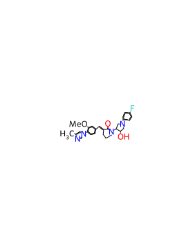 COc1cc(C=C2CCCN(C3CN(c4ccc(F)cc4)CC3O)C2=O)ccc1-n1cnc(C)c1